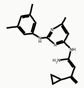 C=C(/C=C(\N)Nc1cc(C)nc(Nc2cc(C)cc(C)c2)n1)C1CC1